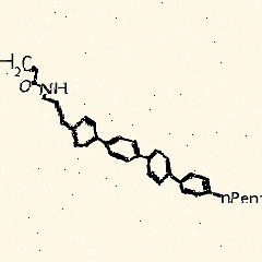 C=CC(=O)NCCCc1ccc(-c2ccc(-c3ccc(-c4ccc(CCCCC)cc4)cc3)cc2)cc1